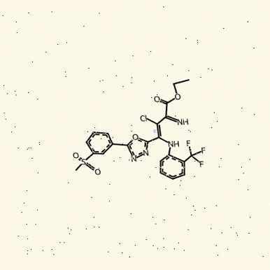 CCOC(=O)C(=N)/C(Cl)=C(\Nc1ccccc1C(F)(F)F)c1nnc(-c2cccc(S(C)(=O)=O)c2)o1